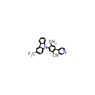 Cc1cc(-c2ccncc2)c(C#N)cc1-n1c2ccccc2c2cc(C(F)(F)F)ccc21